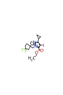 CCOC(=O)c1c(I)c(C2CC2)nn1CC1(C)CCC(F)(F)C1